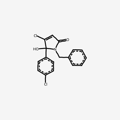 O=C1C=C(Cl)C(O)(c2ccc(Cl)cc2)N1Cc1ccccc1